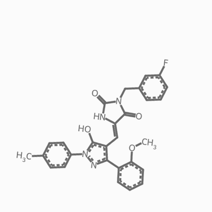 COc1ccccc1-c1nn(-c2ccc(C)cc2)c(O)c1/C=C1\NC(=O)N(Cc2cccc(F)c2)C1=O